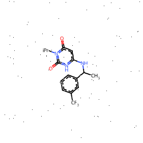 CC(Nc1cc(=O)n(C(C)C)c(=O)[nH]1)c1cccc(C(F)(F)F)c1